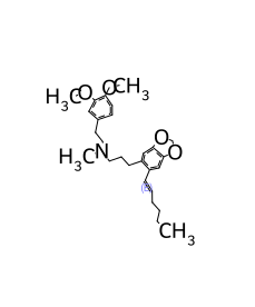 CCCC/C=C/c1cc2c(cc1CCCN(C)CCc1ccc(OC)c(OC)c1)OCO2